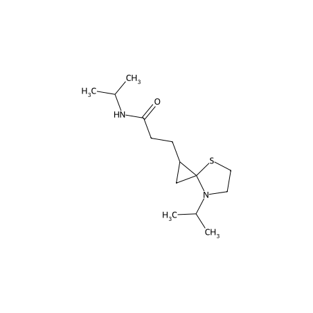 CC(C)NC(=O)CCC1CC12SCCN2C(C)C